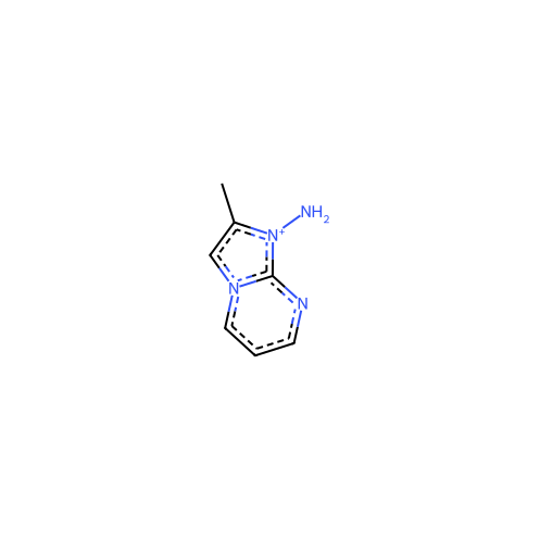 Cc1cn2cccnc2[n+]1N